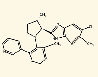 CC1=CC[CH]C(c2cccnc2)=C1N1CC[C@H](C)[C@H]1c1nc2cc(Cl)c(C)cc2[nH]1